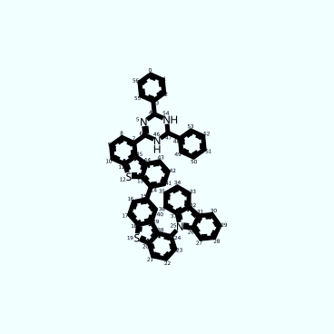 c1ccc(C2N=C(c3cccc4sc5c(-c6ccc7sc8cccc(-n9c%10ccccc%10c%10ccccc%109)c8c7c6)cccc5c34)NC(c3ccccc3)N2)cc1